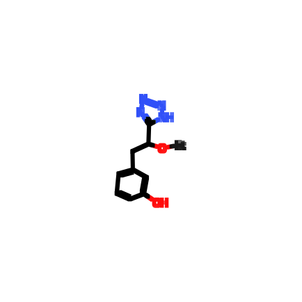 CCOC(Cc1cccc(O)c1)c1nnn[nH]1